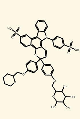 O=S(=O)(O)c1ccc(-n2c3ccccc3c3c4cc(S(=O)(=O)O)ccc4c4c(c32)C=CC(c2ccc(OCC3CCCCO3)cc2)(c2ccc(OCC3OC(O)C(O)C(O)C3O)cc2)O4)cc1